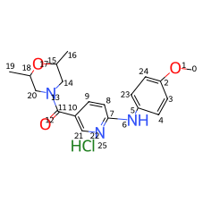 COc1ccc(Nc2ccc(C(=O)N3CC(C)OC(C)C3)cn2)cc1.Cl